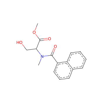 COC(=O)C(CO)N(C)C(=O)c1cccc2ccccc12